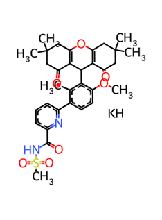 COc1ccc(-c2cccc(C(=O)NS(C)(=O)=O)n2)c(C)c1C1C2=C(CC(C)(C)CC2=O)OC2=C1C(=O)CC(C)(C)C2.[KH]